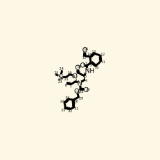 C=CCN(C[C@H](NC(=O)c1ccccc1C=O)C(=O)OCC[Si](C)(C)C)C(=O)OCc1ccccc1